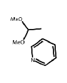 COC(C)OC.c1ccncc1